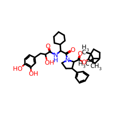 CC1(C)C2CCC1(C)C(OC(=O)C1C(c3ccccc3)CCN1C(=O)C(NC(=O)C(O)Cc1ccc(O)c(O)c1)C1CCCCC1)C2